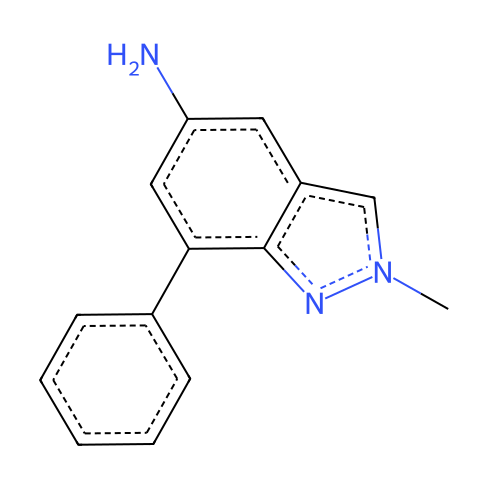 Cn1cc2cc(N)cc(-c3ccccc3)c2n1